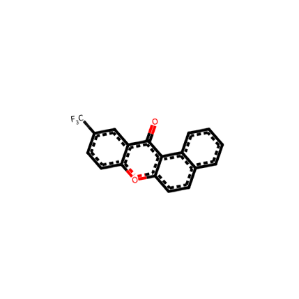 O=c1c2cc(C(F)(F)F)ccc2oc2ccc3ccccc3c12